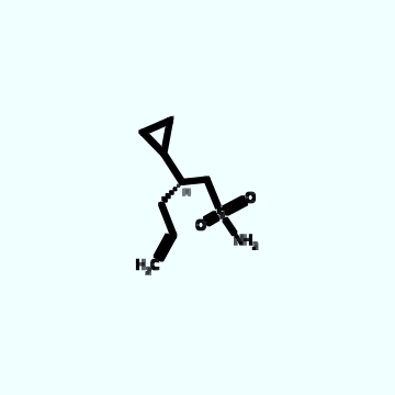 C=CC[C@@H](CS(N)(=O)=O)C1CC1